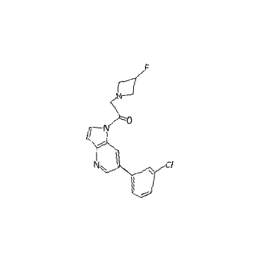 O=C(CN1CC(F)C1)n1ccc2ncc(-c3cccc(Cl)c3)cc21